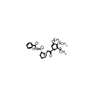 COc1cc(C(=O)CN2CCC[C@@H]2C(=O)NC(=O)c2ccccc2)cc(OC)c1OC